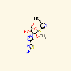 C#Cc1cncc(S[C@H]2OC(CO)[C@H](O)C(n3cc(-c4csc(N)n4)nn3)C2OC)c1